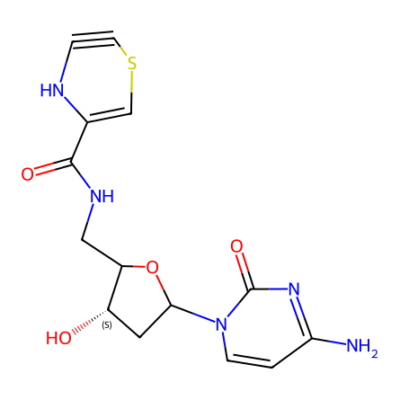 Nc1ccn(C2C[C@H](O)C(CNC(=O)C3=CSC#CN3)O2)c(=O)n1